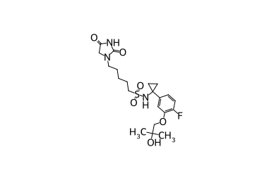 CC(C)(O)COc1cc(C2(NS(=O)(=O)CCCCCN3CC(=O)NC3=O)CC2)ccc1F